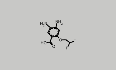 Nc1cc(OCC(F)F)c(C(=O)O)cc1N